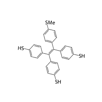 CSc1ccc(C(=C(c2ccc(S)cc2)c2ccc(S)cc2)c2ccc(S)cc2)cc1